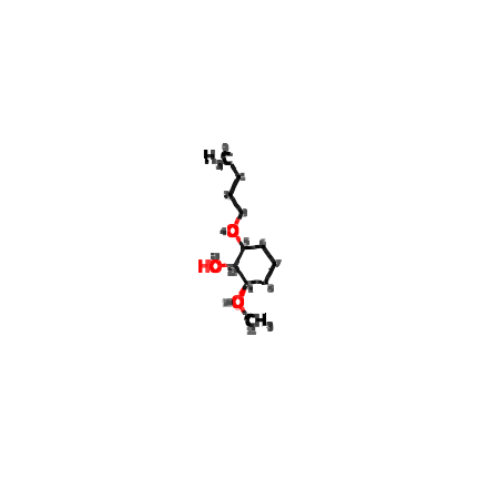 CCCCOC1CCC[C@@H](OC)C1O